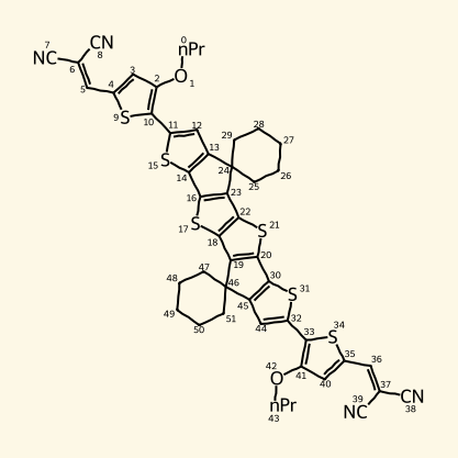 CCCOc1cc(C=C(C#N)C#N)sc1-c1cc2c(s1)-c1sc3c4c(sc3c1C21CCCCC1)-c1sc(-c2sc(C=C(C#N)C#N)cc2OCCC)cc1C41CCCCC1